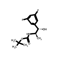 C[C@@H](NC(=O)OC(C)(C)C)[C@@H](O)c1cc(F)cc(F)c1